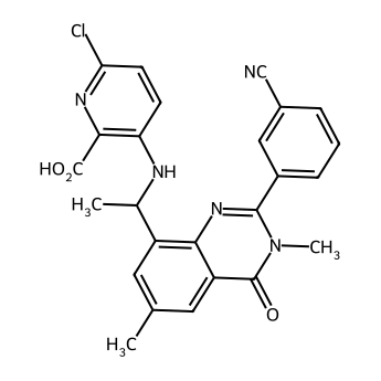 Cc1cc(C(C)Nc2ccc(Cl)nc2C(=O)O)c2nc(-c3cccc(C#N)c3)n(C)c(=O)c2c1